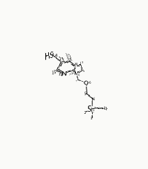 C[Si](C)(C)CCOCn1ccc2cc(S)cnc21